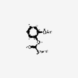 CCCC(C)C(=O)Oc1ccccc1OC(C)=O